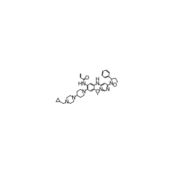 C=CC(=O)Nc1cc(Nc2cc(N3OCCC3c3ccccc3)ncn2)c(OC)cc1N1CCC(N2CCN(CC3CC3)CC2)CC1